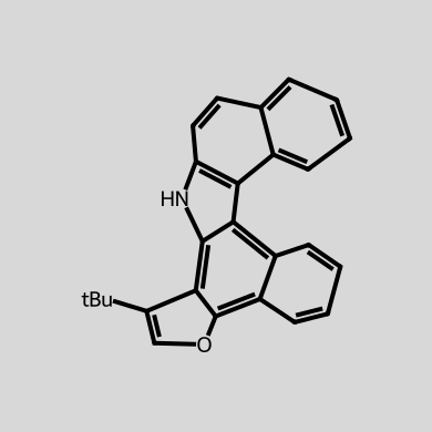 CC(C)(C)c1coc2c3ccccc3c3c([nH]c4ccc5ccccc5c43)c12